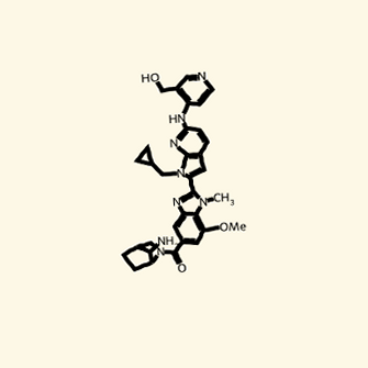 COc1cc(C(=O)N2CC3CCC2C3N)cc2nc(-c3cc4ccc(Nc5ccncc5CO)nc4n3CC3CC3)n(C)c12